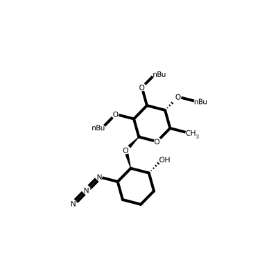 CCCCOC1C(OCCCC)[C@H](OCCCC)C(C)O[C@H]1O[C@@H]1C(N=[N+]=[N-])CCC[C@H]1O